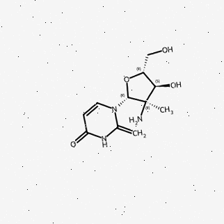 C=C1NC(=O)C=CN1[C@@H]1O[C@H](CO)[C@@H](O)[C@@]1(C)N